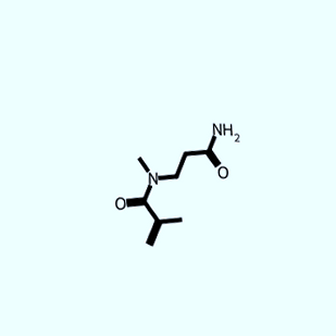 C=C(C)C(=O)N(C)CCC(N)=O